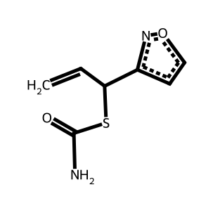 C=CC(SC(N)=O)c1ccon1